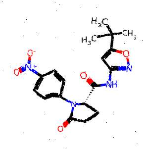 CC(C)(C)c1cc(NC(=O)[C@@H]2CCC(=O)N2c2ccc([N+](=O)[O-])cc2)no1